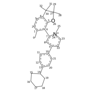 Cc1ccc2c(c1-c1cc(-c3ccc(C4CCCCC4)cc3)cc[n+]1C)OC(C)(C)C2(C)C